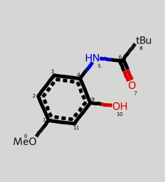 COc1ccc(NC(=O)C(C)(C)C)c(O)c1